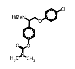 CNC(COc1ccc(Cl)cc1)c1ccc(OC(=O)N(C)C)cc1.Cl